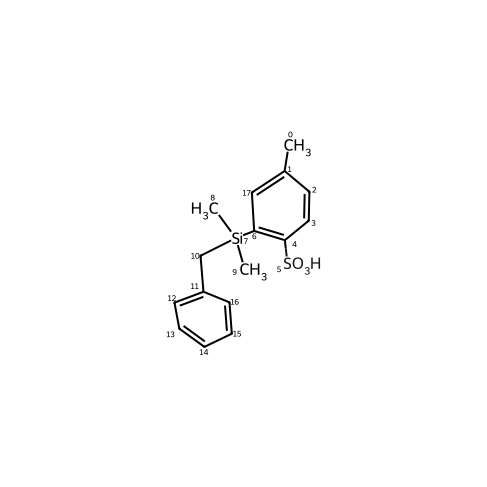 Cc1ccc(S(=O)(=O)O)c([Si](C)(C)Cc2ccccc2)c1